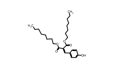 CCCCCCCCOC(=O)C(=Cc1ccc(O)cc1)C(=O)OCCCCCCCC